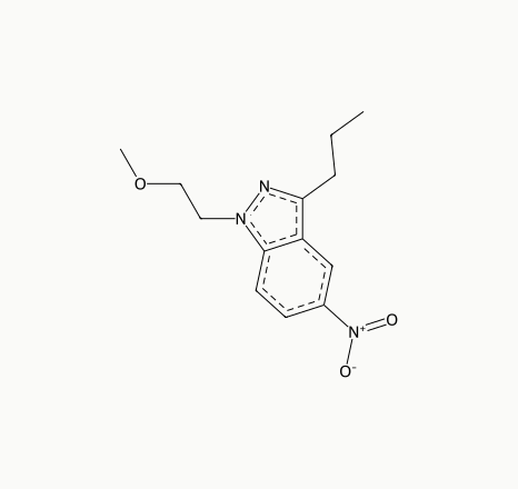 CCCc1nn(CCOC)c2ccc([N+](=O)[O-])cc12